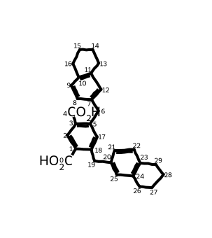 O=C(O)c1cc(C(=O)O)c(Cc2ccc3c(c2)CCCC3)cc1Cc1ccc2c(c1)CCCC2